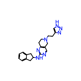 c1ccc2c(c1)CC(Nc1ncc3c(n1)CCN(CCc1c[nH]nn1)C3)C2